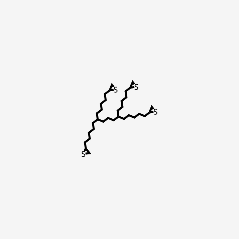 C(CCC(CCCCCC1CS1)CCCC(CCCCCC1CS1)CCCCCC1CS1)CCC1CS1